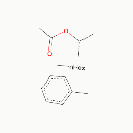 CC(=O)OC(C)C.CCCCCCC.Cc1ccccc1